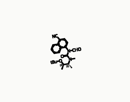 C[C@H]([C@@H](C)OC(C)(C)C)N(C)C(=O)N(C=O)c1ccc(C#N)c2ccccc12